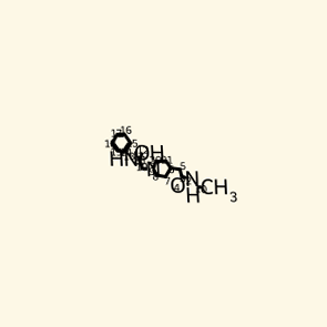 CCNC(=O)CC1CCN(CC(O)Nc2ccccc2)CC1